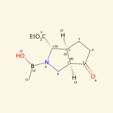 CCOC(=O)[C@@H]1[C@H]2CCC(=O)[C@H]2CN1B(C)O